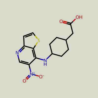 O=C(O)CC1CCC(Nc2c([N+](=O)[O-])cnc3ccsc23)CC1